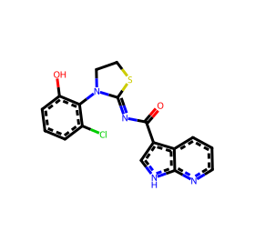 O=C(/N=C1\SCCN1c1c(O)cccc1Cl)c1c[nH]c2ncccc12